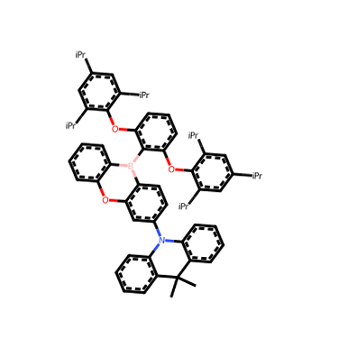 CC(C)c1cc(C(C)C)c(Oc2cccc(Oc3c(C(C)C)cc(C(C)C)cc3C(C)C)c2B2c3ccccc3Oc3cc(N4c5ccccc5C(C)(C)c5ccccc54)ccc32)c(C(C)C)c1